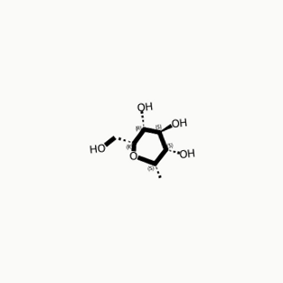 C[C@@H]1O[C@H](CO)[C@H](O)[C@@H](O)[C@@H]1O